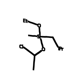 CCO[Si](C)(CC(C)C)OC(C)Cl